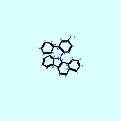 Clc1ccc(-n2c3ccccc3c3ccc4ccccc4c32)c(-c2ccccc2)c1